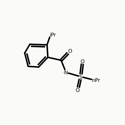 CCCS(=O)(=O)[N]C(=O)c1ccccc1C(C)C